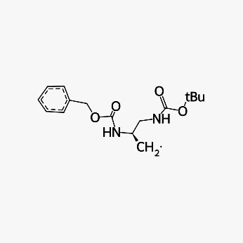 [CH2][C@H](CNC(=O)OC(C)(C)C)NC(=O)OCc1ccccc1